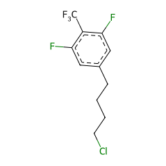 Fc1cc(CCCCCl)cc(F)c1C(F)(F)F